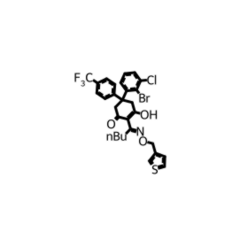 CCCCC(=NOCc1ccsc1)C1=C(O)CC(c2ccc(C(F)(F)F)cc2)(c2cccc(Cl)c2Br)CC1=O